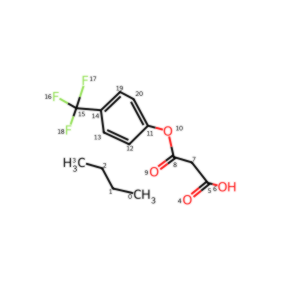 CCCC.O=C(O)CC(=O)Oc1ccc(C(F)(F)F)cc1